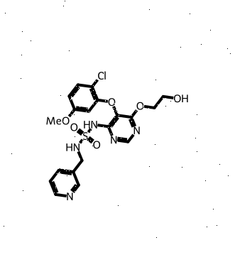 COc1ccc(Cl)c(Oc2c(NS(=O)(=O)NCc3cccnc3)ncnc2OCCO)c1